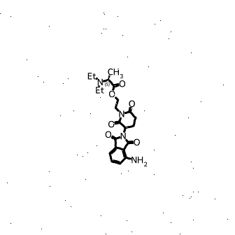 CCN(CC)[C@@H](C)C(=O)OCCN1C(=O)CCC(N2C(=O)c3cccc(N)c3C2=O)C1=O